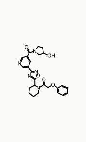 O=C(c1cncc(-c2noc(C3CCCCN3C(=O)COc3ccccc3)n2)c1)N1CCC(O)C1